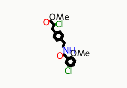 COC(=O)C(Cl)Cc1ccc(CCNC(=O)c2cc(Cl)ccc2OC)cc1